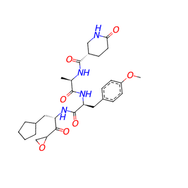 COc1ccc(C[C@H](NC(=O)[C@@H](C)NC(=O)[C@H]2CCC(=O)NC2)C(=O)N[C@@H](CC2CCCC2)C(=O)C2CO2)cc1